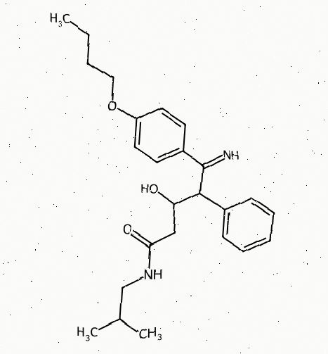 CCCCOc1ccc(C(=N)C(c2ccccc2)C(O)CC(=O)NCC(C)C)cc1